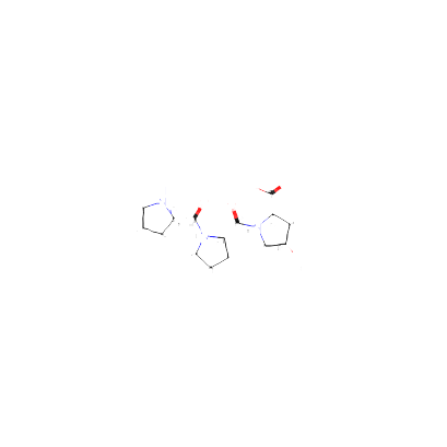 O=C(O)[C@@H]1C[C@@H](O)CN1C(=O)[C@@H]1CCCN1C(=O)[C@@H]1CCCN1